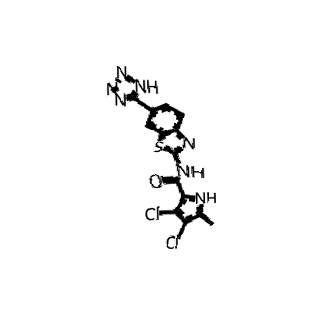 Cc1[nH]c(C(=O)Nc2nc3ccc(-c4nnn[nH]4)cc3s2)c(Cl)c1Cl